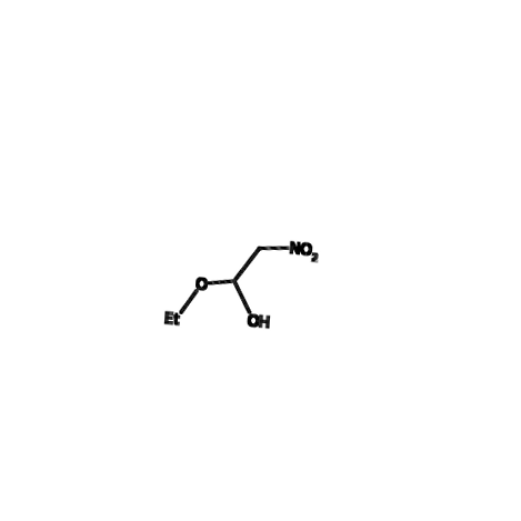 CCOC(O)C[N+](=O)[O-]